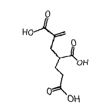 C=C(CC(CCC(=O)O)C(=O)O)C(=O)O